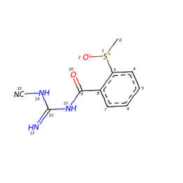 C[S+]([O-])c1ccccc1C(=O)NC(=N)NC#N